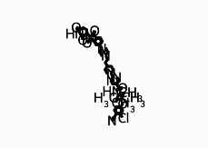 CC1(C)[C@H](NC(=O)c2cnc(N3CCC(CCN4CCN(c5ccc6c(c5)C(=O)N(C5CCC(=O)NC5=O)C6=O)CC4)CC3)nc2)C(C)(C)[C@H]1Oc1ccc(C#N)c(Cl)c1